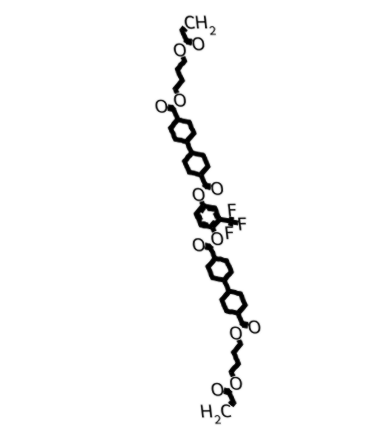 C=CC(=O)OCCCCOC(=O)C1CCC(C2CCC(C(=O)Oc3ccc(OC(=O)C4CCC(C5CCC(C(=O)OCCCCOC(=O)C=C)CC5)CC4)c(C(F)(F)F)c3)CC2)CC1